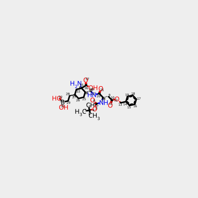 CC(C)(C)OC(=O)N[C@@H](CC(=O)OCc1ccccc1)C(=O)NC[C@@H]1CC[C@@H](CCB(O)O)C[C@]1(N)C(=O)O